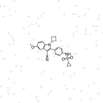 COc1ccc2c(c1)c(C#N)c(-c1ccc(NS(=O)(=O)C3CC3)cc1)n2C1CCC1